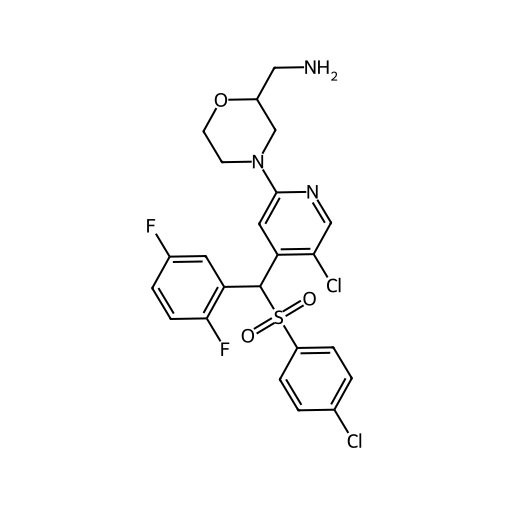 NCC1CN(c2cc(C(c3cc(F)ccc3F)S(=O)(=O)c3ccc(Cl)cc3)c(Cl)cn2)CCO1